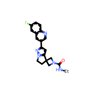 CCNC(=O)N1CC2(CCn3nc(-c4cnc5ccc(F)cc5c4)cc32)C1